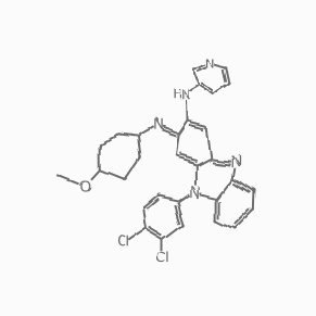 COC1CCC(/N=c2\cc3n(-c4ccc(Cl)c(Cl)c4)c4ccccc4nc-3cc2Nc2cccnc2)CC1